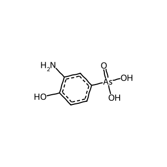 Nc1cc([As](=O)(O)O)ccc1O